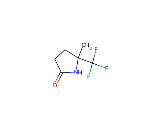 CC1(C(F)(F)F)CCC(=O)N1